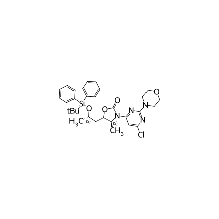 C[C@@H](CC1OC(=O)N(c2cc(Cl)nc(N3CCOCC3)n2)[C@H]1C)O[Si](c1ccccc1)(c1ccccc1)C(C)(C)C